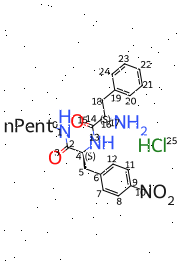 CCCCCNC(=O)[C@H](Cc1ccc([N+](=O)[O-])cc1)NC(=O)[C@@H](N)Cc1ccccc1.Cl